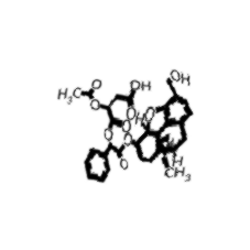 CC(=O)O[C@@H](CC(=O)O)C(=O)O[C@H](C(=O)OC1=CC[C@@]2(O)[C@H]3Cc4ccc(CO)c5c4[C@@]2(CCN3C)[C@H]1O5)c1ccccc1